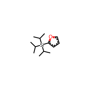 CC(C)[Si](c1ccco1)(C(C)C)C(C)C